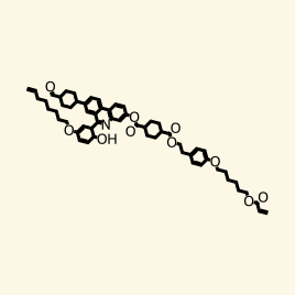 C=CCCCCCCOC1=CC(c2nc3cc(OC(=O)C4CCC(C(=O)OCCc5ccc(OCCCCCCOC(=O)C=C)cc5)CC4)ccc3c3ccc(C4CCC(C=O)CC4)cc23)C(O)C=C1